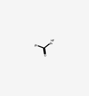 CC(C)C(=O)C(C)C.F